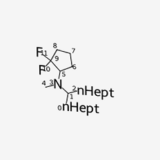 CCCCCCCC(CCCCCCC)N(C)C1CCCC1(F)F